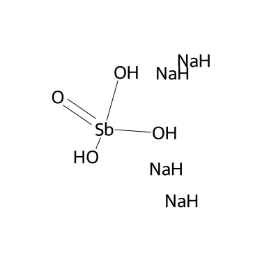 [NaH].[NaH].[NaH].[NaH].[O]=[Sb]([OH])([OH])[OH]